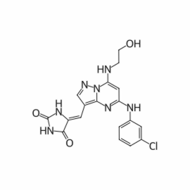 O=C1NC(=O)C(=Cc2cnn3c(NCCO)cc(Nc4cccc(Cl)c4)nc23)N1